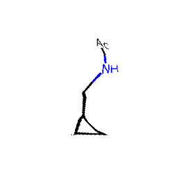 CC(=O)NCC1[CH]C1